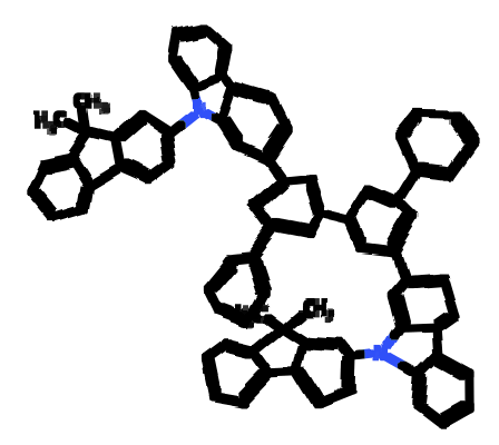 CC1(C)c2ccccc2-c2ccc(-n3c4ccccc4c4ccc(-c5cc(-c6ccccc6)cc(-c6cc(-c7ccccc7)cc(-c7ccc8c9ccccc9n(-c9ccc%10c(c9)C(C)(C)c9ccccc9-%10)c8c7)c6)c5)cc43)cc21